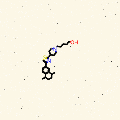 CC1CCC(C)c2cc(-c3csc(C4CCN(CCCCCO)CC4)n3)ccc21